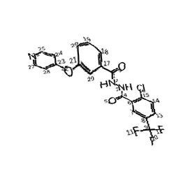 O=C(NNC(=O)c1cc(C(F)(F)F)ccc1Cl)c1cccc(Oc2ccncc2)c1